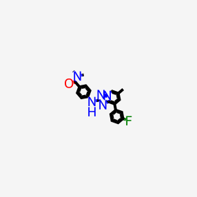 Cc1cc(-c2cccc(F)c2)c2nc(Nc3ccc(C(=O)N(C)C)cc3)nn2c1